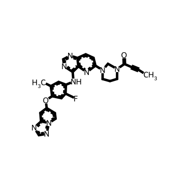 CC#CC(=O)N1CCCN(c2ccc3ncnc(Nc4cc(C)c(Oc5ccn6ncnc6c5)cc4F)c3n2)C1